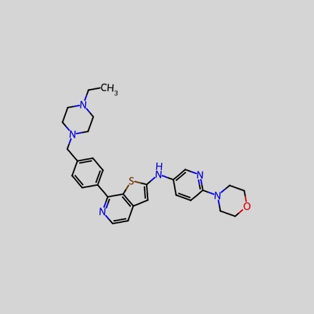 CCN1CCN(Cc2ccc(-c3nccc4cc(Nc5ccc(N6CCOCC6)nc5)sc34)cc2)CC1